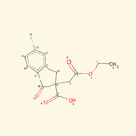 CCOC(=O)CC1(C(=O)O)Cc2cc(F)ccc2C1=O